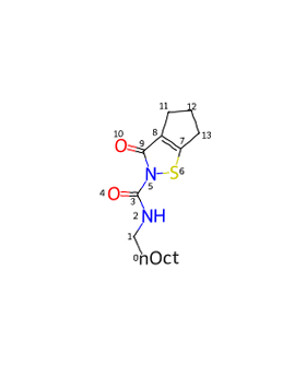 CCCCCCCCCNC(=O)n1sc2c(c1=O)CCC2